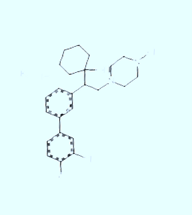 CN1CCN(CC(c2cccc(-c3ccc(Cl)c(Cl)c3)c2)C2(O)CCCCC2)CC1.Cl.Cl